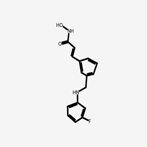 O=C(/C=C/c1cccc(CNc2cccc(F)c2)c1)NO